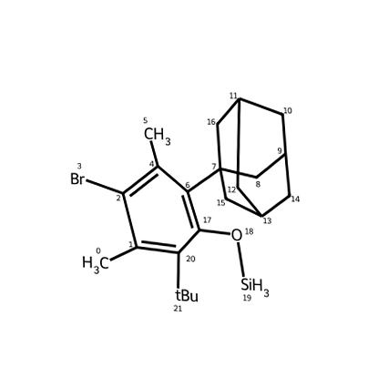 Cc1c(Br)c(C)c(C23CC4CC(CC(C4)C2)C3)c(O[SiH3])c1C(C)(C)C